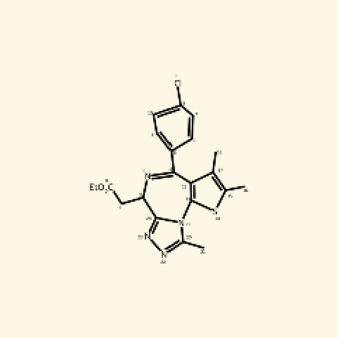 CCOC(=O)CC1N=C(c2ccc(Cl)cc2)c2c(sc(C)c2C)-n2c(C)nnc21